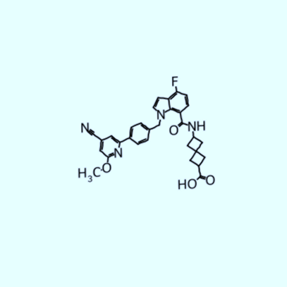 COc1cc(C#N)cc(-c2ccc(Cn3ccc4c(F)ccc(C(=O)NC5CC6(C5)CC(C(=O)O)C6)c43)cc2)n1